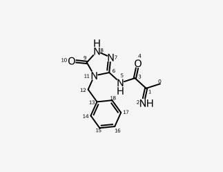 CC(=N)C(=O)Nc1n[nH]c(=O)n1Cc1ccccc1